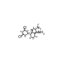 CN(C)c1cnc2c(-c3cc(Cl)cc(Cl)c3)cccc2c1N